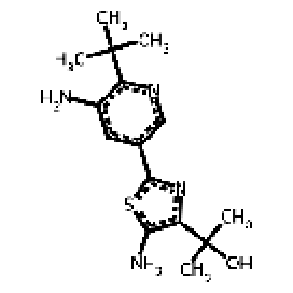 CC(C)(C)c1ncc(-c2nc(C(C)(C)O)c(N)s2)cc1N